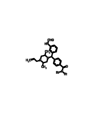 C=CCN1CC(C)N(C(c2ccc(C(=O)N(CC)CC)cc2)c2cccc(NC=O)c2)CC1C